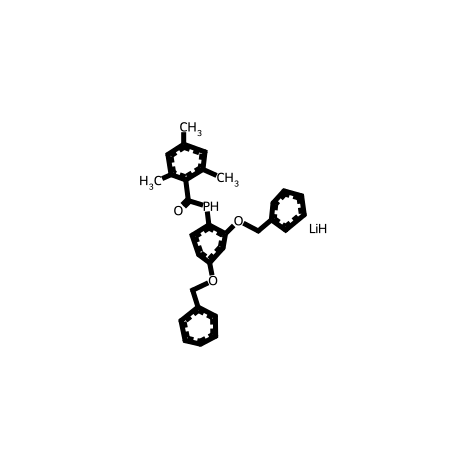 Cc1cc(C)c(C(=O)Pc2ccc(OCc3ccccc3)cc2OCc2ccccc2)c(C)c1.[LiH]